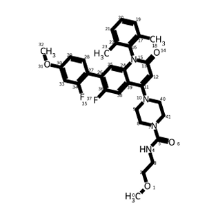 COCCNC(=O)N1CCN(c2cc(=O)n(-c3c(C)cccc3C)c3cc(-c4ccc(OC)cc4F)c(F)cc23)CC1